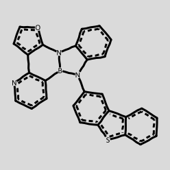 c1cnc2c(c1)B1N(c3ccc4sc5ccccc5c4c3)c3ccccc3N1c1occc1-2